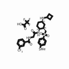 CSc1ccc(S(=O)(=O)C[C@@H]2C[C@H](NC3CCC3)CC[C@@H]2NC(=O)CNC(=O)c2cccc(C(F)(F)F)c2)cc1.O=C(O)C(F)(F)F